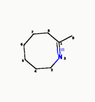 C/C1=N/CCCCCC1